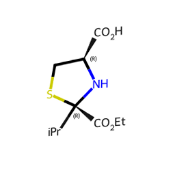 CCOC(=O)[C@]1(C(C)C)N[C@H](C(=O)O)CS1